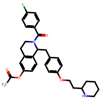 O=C(c1ccc(F)cc1)N1CCc2cc(OC(=O)C(F)(F)F)ccc2C1Cc1ccc(OCCC2CCCCN2)cc1